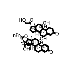 CCC[C@@H]1O[C@@H]2C[C@H]3[C@@H]4CCC5=CC(=O)C=C[C@]5(C)[C@H]4[C@@H](O)C[C@]3(C)[C@]2(C(=O)CO)O1.C[C@]12C[C@H](O)[C@H]3[C@@H](CCC4=CC(=O)CC[C@@]43C)[C@@H]1CC[C@@H]2C(=O)CO